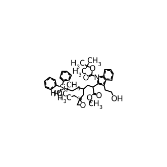 CC[C@]1(CC(CCC(C)(C)[Si](O)(c2ccccc2)c2ccccc2)CC(C(=O)OC)c2c(CCO)c3ccccc3n2C(=O)OC(C)(C)C)CO1